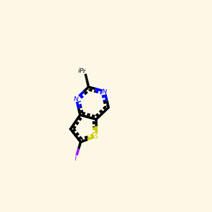 CC(C)c1ncc2sc(I)cc2n1